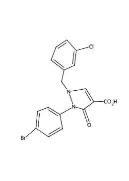 O=C(O)c1cn(Cc2cccc(Cl)c2)n(-c2ccc(Br)cc2)c1=O